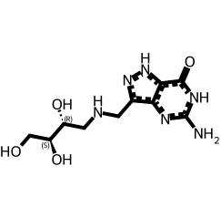 Nc1nc2c(CNC[C@@H](O)[C@@H](O)CO)n[nH]c2c(=O)[nH]1